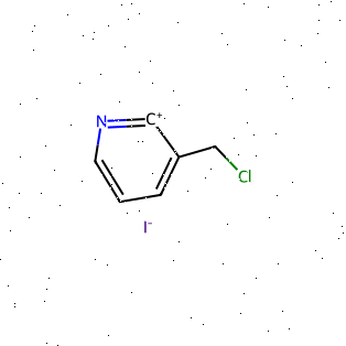 ClCC1=CC=CN=[C+]1.[I-]